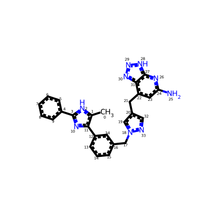 Cc1[nH]c(-c2ccccc2)nc1-c1cccc(Cn2cc(Cc3cc(N)nc4[nH]nnc34)cn2)c1